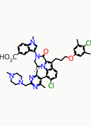 Cc1cc(OCCCc2c3n(c4c(-c5c(C)nc(CN6CCN(C)CC6)nc5C)c(Cl)ccc24)[C@H](C)CN(c2cn(C)c4ccc(C(=O)O)cc24)C3=O)cc(C)c1Cl